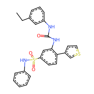 CCc1cccc(NC(=O)Nc2cc(S(=O)(=O)Nc3ccccc3)ccc2-c2ccsc2)c1